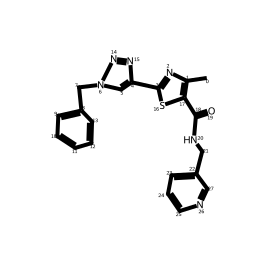 Cc1nc(-c2cn(Cc3ccccc3)nn2)sc1C(=O)NCc1cccnc1